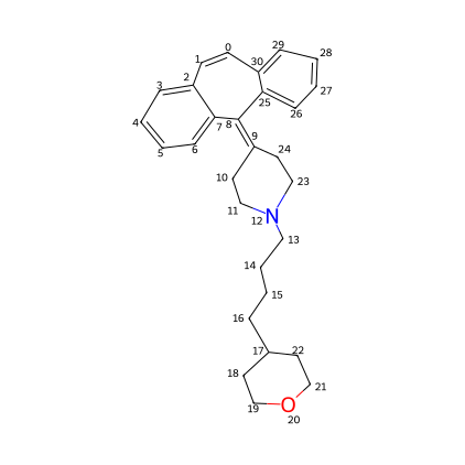 C1=Cc2ccccc2C(=C2CCN(CCCCC3CCOCC3)CC2)c2ccccc21